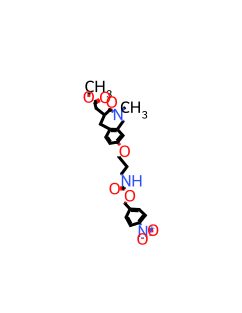 COC(=O)CC1Cc2ccc(OCCCNC(=O)OCc3ccc([N+](=O)[O-])cc3)cc2CN(C)C1=O